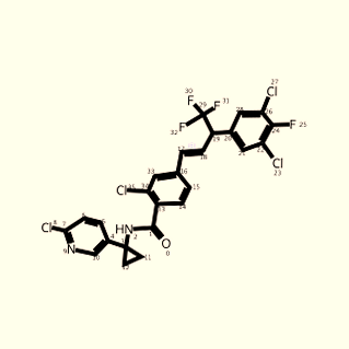 O=C(NC1(c2ccc(Cl)nc2)CC1)c1ccc(/C=C/C(c2cc(Cl)c(F)c(Cl)c2)C(F)(F)F)cc1Cl